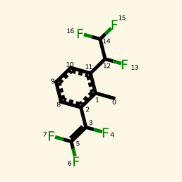 Cc1c(C(F)=C(F)F)cccc1C(F)C(F)F